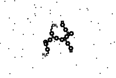 C=Cc1ccc(C23CC4CC(C2)CC(c2ccc(N(c5ccc(CCCC)cc5)c5ccc(-c6ccc7c(c6)c6cc8c(cc6n7-c6ccc(-c7ccc9c(c7)CC9)cc6)c6ccccc6n8-c6ccc(-c7ccc8c(c7)CC8)cc6)cc5)cc2)(C4)C3)cc1